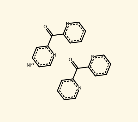 O=C(c1ccccn1)c1ccccn1.O=C(c1ccccn1)c1ccccn1.[Ni+2]